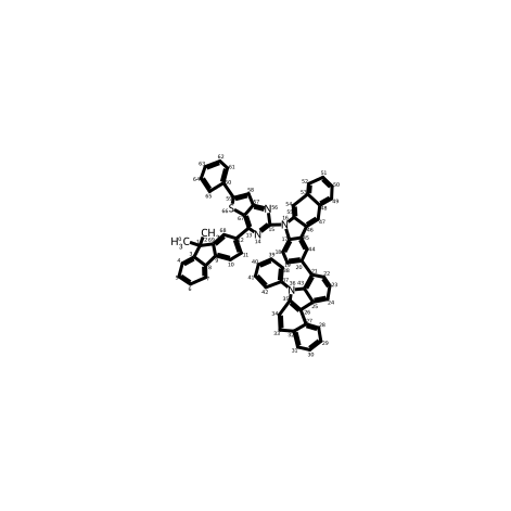 CC1(C)c2ccccc2-c2ccc(-c3nc(-n4c5ccc(-c6cccc7c8c9ccccc9ccc8n(-c8ccccc8)c67)cc5c5cc6ccccc6cc54)nc4cc(-c5ccccc5)sc34)cc21